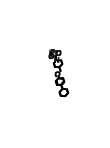 CC(C)OC(=O)N1CCC(COc2ccc(C3CCCCC3)cc2)CC1